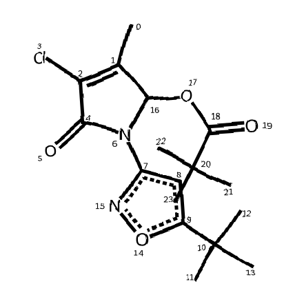 CC1=C(Cl)C(=O)N(c2cc(C(C)(C)C)on2)C1OC(=O)C(C)(C)C